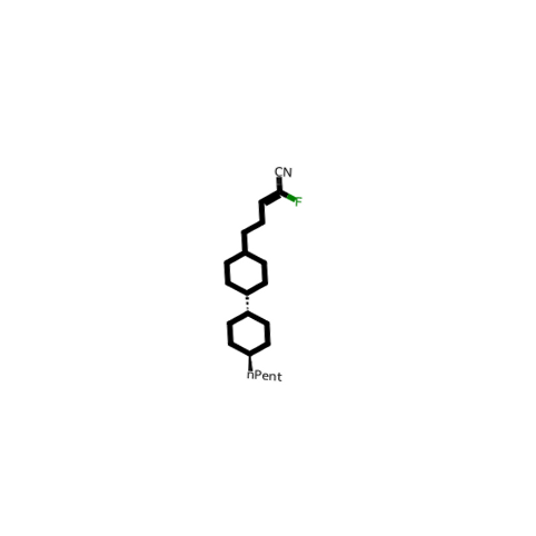 CCCCC[C@H]1CC[C@H](C2CCC(CC/C=C(\F)C#N)CC2)CC1